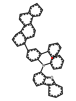 c1ccc(-c2cc(-c3cccc4c3ccc3c5ccccc5ccc43)ccc2N(c2ccccc2)c2cccc3c2oc2ccccc23)cc1